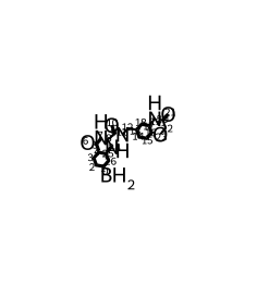 Bc1ccc2c(=O)[nH]c(C(=O)NCc3ccc4c(c3)NC(=O)CO4)nc2c1